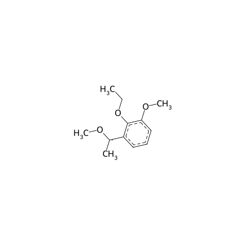 CCOc1c(OC)cccc1[C](C)OC